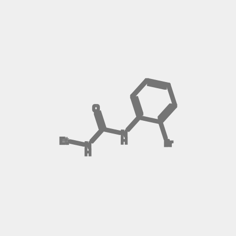 CCNC(=O)Nc1ccccc1Br